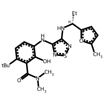 CC[C@@H](Nc1nsnc1Nc1ccc(C(C)(C)C)c(C(=O)N(C)C)c1O)c1ccc(C)o1